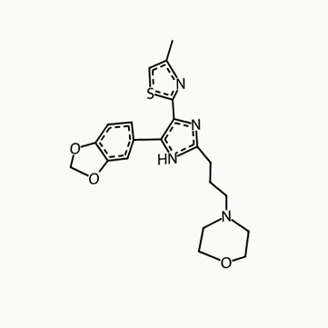 Cc1csc(-c2nc(CCCN3CCOCC3)[nH]c2-c2ccc3c(c2)OCO3)n1